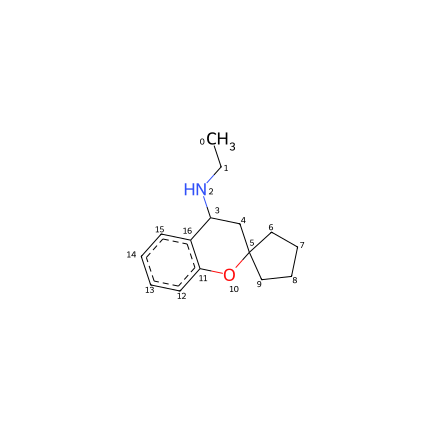 CCNC1CC2(CCCC2)Oc2ccccc21